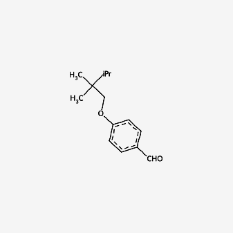 CC(C)C(C)(C)COc1ccc(C=O)cc1